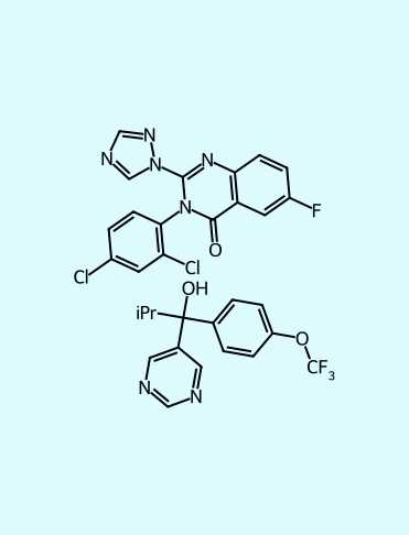 CC(C)C(O)(c1ccc(OC(F)(F)F)cc1)c1cncnc1.O=c1c2cc(F)ccc2nc(-n2cncn2)n1-c1ccc(Cl)cc1Cl